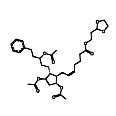 CC(=O)O[C@H](CCc1ccccc1)CC[C@@H]1[C@@H](C/C=C\CCCC(=O)OCCC2OCCO2)[C@@H](OC(C)=O)C[C@H]1OC(C)=O